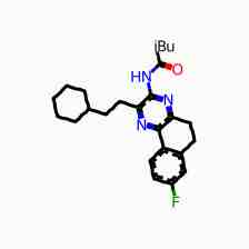 CCC(C)C(=O)Nc1nc2c(nc1CCC1CCCCC1)-c1ccc(F)cc1CC2